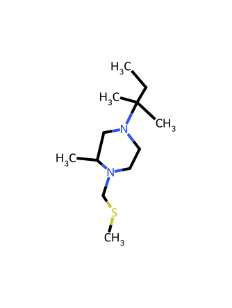 CCC(C)(C)N1CCN(CSC)C(C)C1